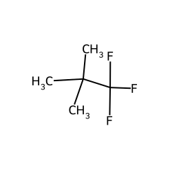 CC(C)(C)C(F)(F)F